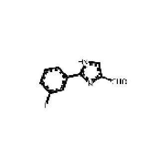 O=Cc1c[nH]c(-c2cccc(I)c2)n1